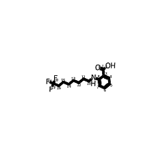 O=C(O)c1ccccc1NCCCCCCCC(F)(F)F